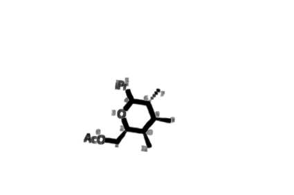 CC(=O)OC[C@H]1OC(C(C)C)[C@H](C)[C@@H](C)[C@H]1C